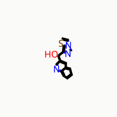 OC(c1cnc2ccccc2c1)c1ncn2ccsc12